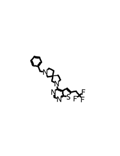 FC(F)(F)Cc1cc2c(N3CC[C@@]4(CCN(Cc5ccccc5)C4)C3)ncnc2s1